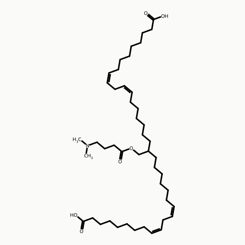 CN(C)CCCC(=O)OCC(CCCCCC/C=C\C/C=C\CCCCCCCC(=O)O)CCCCCC/C=C\C/C=C\CCCCCCCC(=O)O